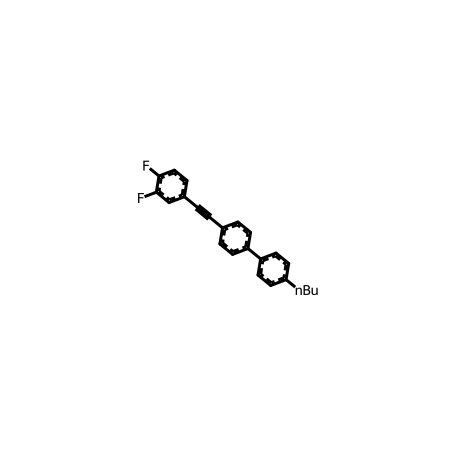 CCCCc1ccc(-c2ccc(C#Cc3ccc(F)c(F)c3)cc2)cc1